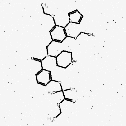 CCOC(=O)C(C)(C)Oc1cccc(C(=O)N(Cc2cc(OCC)c(-n3cccc3)c(OCC)c2)C2CCNCC2)c1